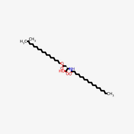 CCCCCCCCCCCCCCCCCC(=O)N[C@@H](CC(=O)OCCCCCCCCCCCCCCCC(C)C)C(=O)O